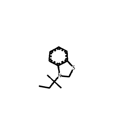 CCC(C)(C)N1CSc2ccccc21